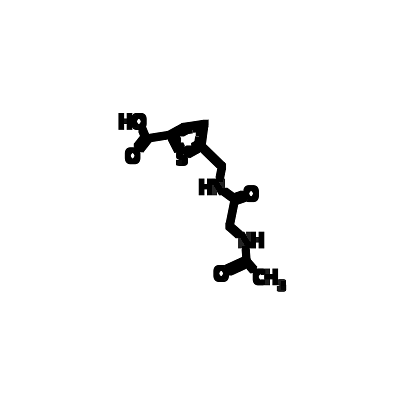 CC(=O)NCC(=O)NCc1ccc(C(=O)O)s1